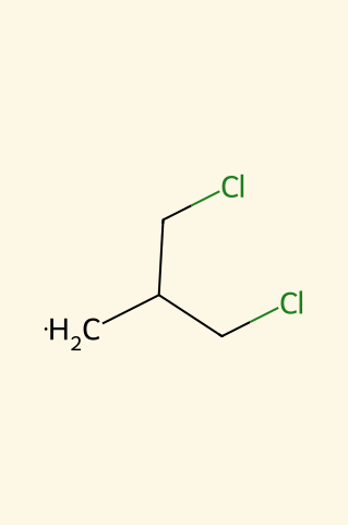 [CH2]C(CCl)CCl